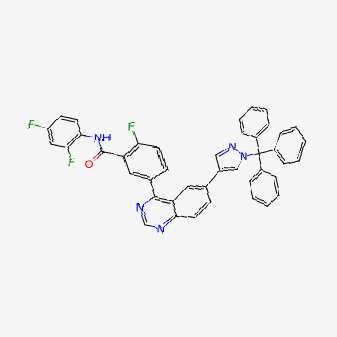 O=C(Nc1ccc(F)cc1F)c1cc(-c2ncnc3ccc(-c4cnn(C(c5ccccc5)(c5ccccc5)c5ccccc5)c4)cc23)ccc1F